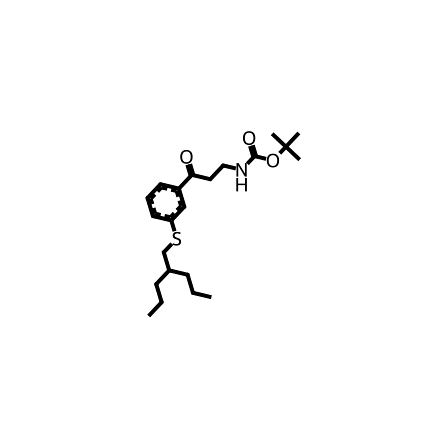 CCCC(CCC)CSc1cccc(C(=O)CCNC(=O)OC(C)(C)C)c1